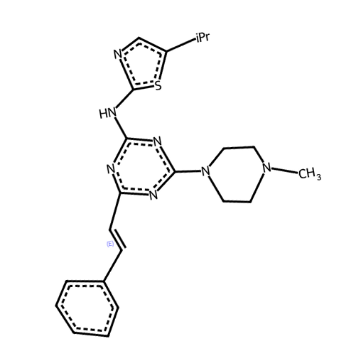 CC(C)c1cnc(Nc2nc(/C=C/c3ccccc3)nc(N3CCN(C)CC3)n2)s1